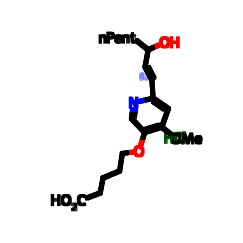 CCCCCC(O)/C=C/c1cc(OC)c(OCCCCC(=O)O)cn1.Cl